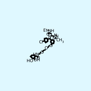 CCNC(=O)C[C@@H]1N=C(c2ccc(Cl)cc2)c2cc(OCCOCCOCCNC(=O)c3cccc(O)c3O)ccc2-n2c(C)nnc21